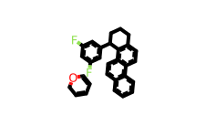 C1=CCOC=C1.Fc1cc(F)cc(C2CCCc3ccc4c(ccc5ccccc54)c32)c1